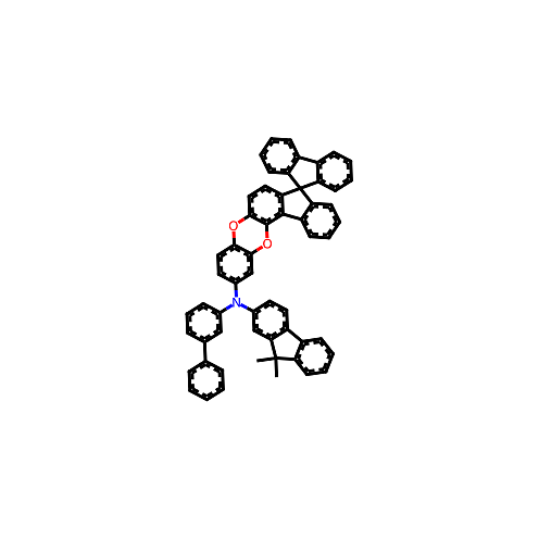 CC1(C)c2ccccc2-c2ccc(N(c3cccc(-c4ccccc4)c3)c3ccc4c(c3)Oc3c(ccc5c3-c3ccccc3C53c5ccccc5-c5ccccc53)O4)cc21